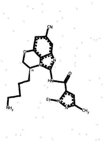 CCn1nc(C)cc1C(=O)Nc1nc2cc(C#N)cc3c2n1[C@@H](CCCCN)CO3